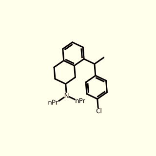 CCCN(CCC)C1CCc2cccc(C(C)c3ccc(Cl)cc3)c2C1